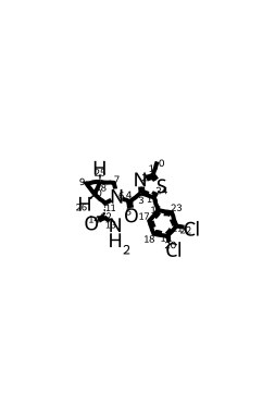 Cc1nc(C(=O)N2C[C@@H]3C[C@@H]3[C@H]2C(N)=O)c(-c2ccc(Cl)c(Cl)c2)s1